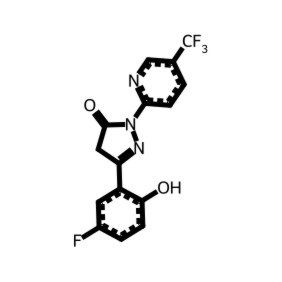 O=C1CC(c2cc(F)ccc2O)=NN1c1ccc(C(F)(F)F)cn1